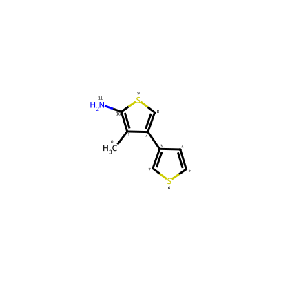 Cc1c(-c2ccsc2)csc1N